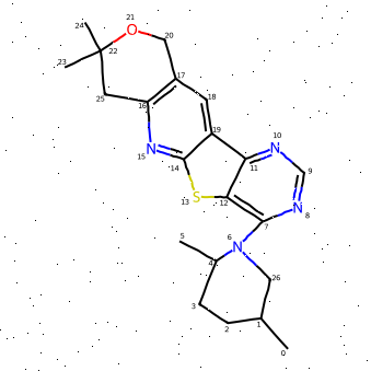 CC1CCC(C)N(c2ncnc3c2sc2nc4c(cc23)COC(C)(C)C4)C1